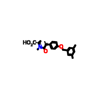 Cc1cc(C)cc(COc2ccc([C@@H](C)C(=O)N(C)[C@@H](C)C(=O)O)cc2)c1